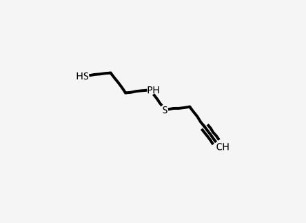 C#CCSPCCS